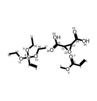 C=CC(=O)OC.C=C[Si](OCC)(OCC)OCC.O=C(O)C1OC1C(=O)O